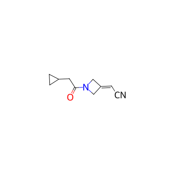 N#CC=C1CN(C(=O)CC2CC2)C1